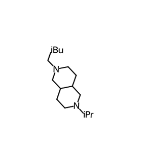 CCC(C)CN1CCC2CN(C(C)C)CCC2C1